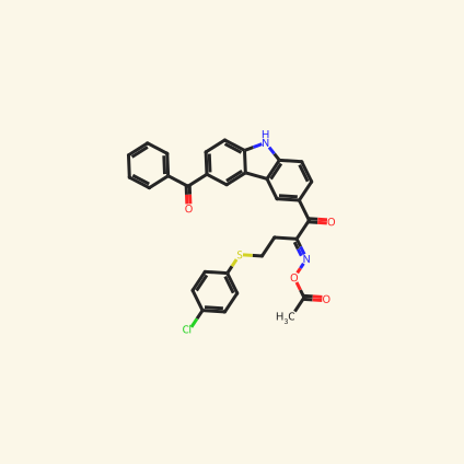 CC(=O)O/N=C(\CCSc1ccc(Cl)cc1)C(=O)c1ccc2[nH]c3ccc(C(=O)c4ccccc4)cc3c2c1